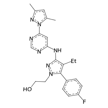 CCc1c(Nc2cc(-n3nc(C)cc3C)ncn2)nn(CCO)c1-c1ccc(F)cc1